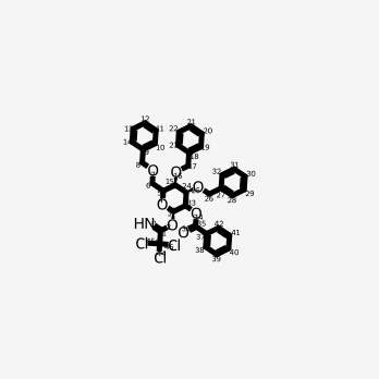 N=C(O[C@H]1OC(COCc2ccccc2)[C@@H](OCc2ccccc2)[C@@H](OCc2ccccc2)C1OC(=O)c1ccccc1)C(Cl)(Cl)Cl